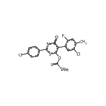 CSC(=S)Oc1sc(-c2ccc(Cl)cc2)nc(=O)c1-c1cc(Cl)c(C)cc1F